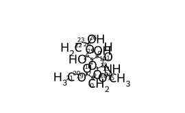 C=C(OC1OC(CO)C(O)C(O)C1NC(C)=O)C(=O)OCC.C=CC(=O)O